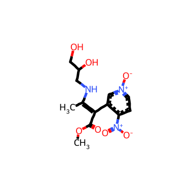 COC(=O)C(=C(C)NCC(O)CO)c1c[n+]([O-])ccc1[N+](=O)[O-]